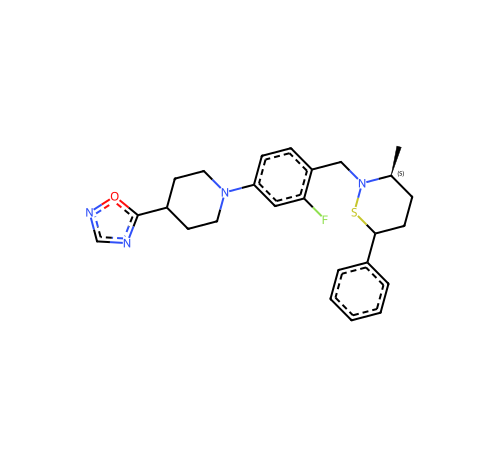 C[C@H]1CCC(c2ccccc2)SN1Cc1ccc(N2CCC(c3ncno3)CC2)cc1F